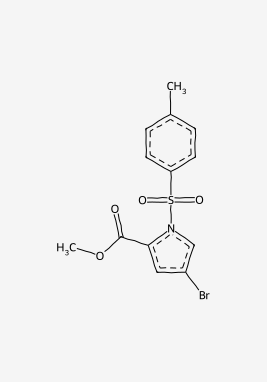 COC(=O)c1cc(Br)cn1S(=O)(=O)c1ccc(C)cc1